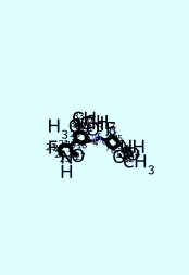 COc1c(/C=C/c2ccc(NS(C)(=O)=O)cc2F)cc(-c2cc(F)c[nH]c2=O)cc1C(C)(C)C